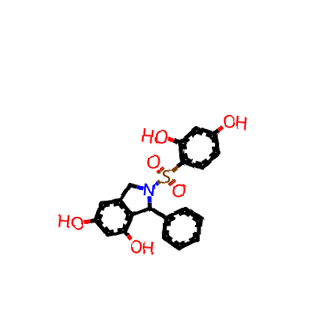 O=S(=O)(c1ccc(O)cc1O)N1Cc2cc(O)cc(O)c2C1c1ccccc1